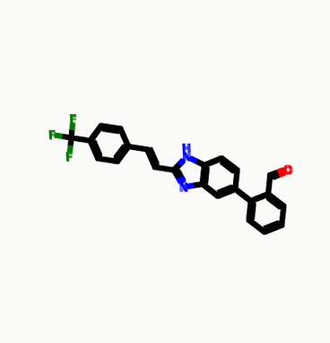 O=Cc1ccccc1-c1ccc2[nH]c(/C=C/c3ccc(C(F)(F)F)cc3)nc2c1